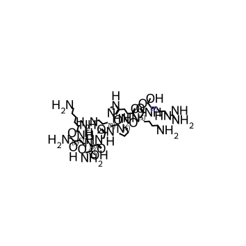 N=C(N)NCC/C=C(\NC(=O)[C@H](CCCCN)NC(=O)C(Cc1cnc[nH]1)NC(=O)[C@@H]1CCCN1C(=O)[C@@H](CCCN)NC(=O)CNC(=O)[C@@H](NC(=O)[C@@H](NC(=O)C(N)CCCCN)[C@@H](O)CN)[C@@H](O)CN)C(=O)O